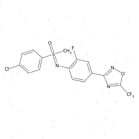 CS(=O)(=Nc1ccc(-c2noc(C(F)(F)F)n2)cc1F)c1ccc(Cl)cc1